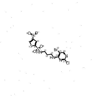 O=[N+]([O-])c1csc(S(=O)(=O)NCCCNc2nc(Cl)ncc2Br)c1